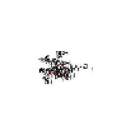 CCCCCCCCCCCCC(c1cc(C)c(CCC(=O)O)cc1C(C)(C)C)C(C(=S)OCC(CO)(CO)CO)(c1cc(C)c(CCC(=O)O)cc1C(C)(C)C)c1cc(C)c(CCC(=O)O)cc1C(C)(C)C